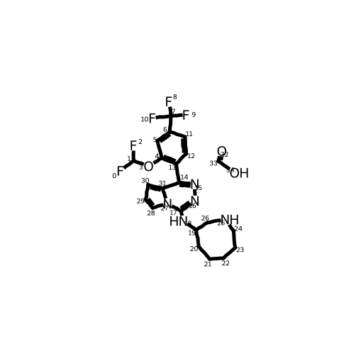 FC(F)Oc1cc(C(F)(F)F)ccc1-c1nnc(NC2CCCCCNC2)n2cccc12.O=CO